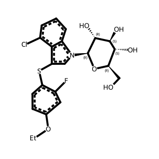 CCOc1ccc(Sc2cn([C@@H]3O[C@H](CO)[C@@H](O)[C@H](O)[C@H]3O)c3cccc(Cl)c23)c(F)c1